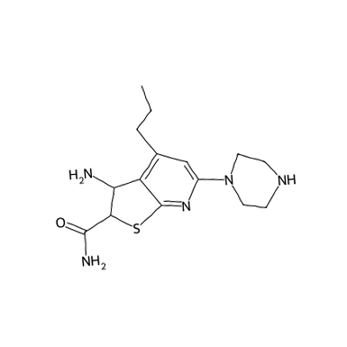 CCCc1cc(N2CCNCC2)nc2c1C(N)C(C(N)=O)S2